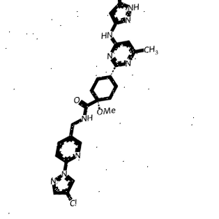 CO[C@]1(C(=O)NCc2ccc(-n3cc(Cl)cn3)nc2)CC[C@H](c2nc(C)cc(Nc3cc(C)[nH]n3)n2)CC1